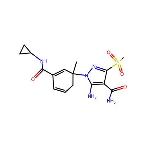 CC1(n2nc(S(C)(=O)=O)c(C(N)=O)c2N)C=C(C(=O)NC2CC2)C=CC1